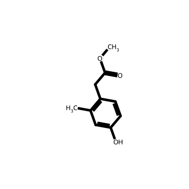 COC(=O)Cc1ccc(O)cc1C